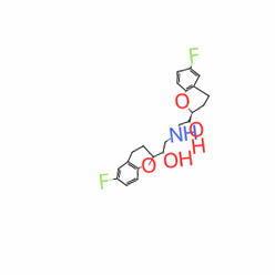 OC(CNCC(O)[C@@H]1CCc2cc(F)ccc2O1)C1CCc2cc(F)ccc2O1